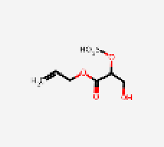 C=CCOC(=O)C(CO)OS(=O)(=O)O